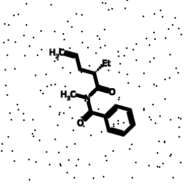 C=CC[C@H](CC)C(=O)N(C)C(=O)c1ccccc1